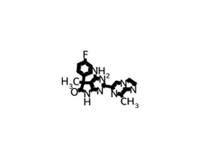 Cc1nc(-c2nc(N)c3c(n2)NC(=O)C3(C)c2ccc(F)cc2)cn2ccnc12